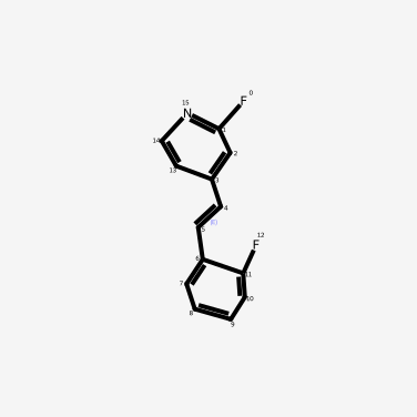 Fc1cc(/C=C/c2ccccc2F)ccn1